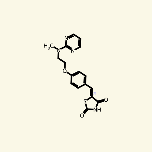 CN(CCOc1ccc(/C=C2\SC(=O)NC2=O)cc1)c1ncccn1